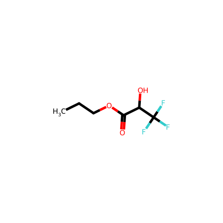 CCCOC(=O)C(O)C(F)(F)F